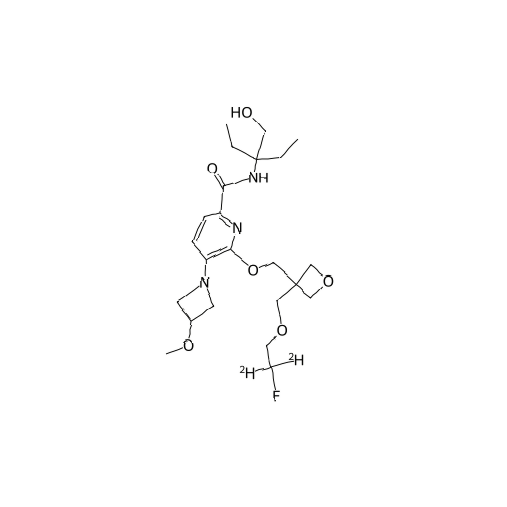 [2H]C([2H])(F)COCC1(COc2nc(C(=O)NC(CC)(CC)CO)ccc2N2CC(OC)C2)COC1